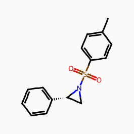 Cc1ccc(S(=O)(=O)N2C[C@@H]2c2ccccc2)cc1